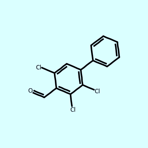 O=Cc1c(Cl)cc(-c2ccccc2)c(Cl)c1Cl